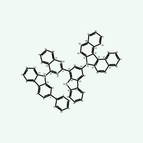 c1ccc(-c2ccc3c4ccccc4n(-c4nc(-c5cc(-n6c7ccc8ccccc8c7c7c8ccccc8ccc76)cc6c5sc5ccccc56)nc5ccccc45)c3c2)cc1